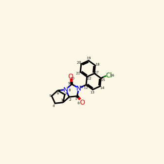 O=C1C2C3CCC(C3)N2C(=O)N1c1ccc(Cl)c2ccccc12